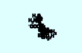 CCC(C)(O/N=C(\C(=O)NC1C(=O)N2C(C(=O)[O-])=C(CSc3nc(N)cc4n(C)cn[n+]34)CS[C@@H]12)c1csc(N)n1)C(=O)O